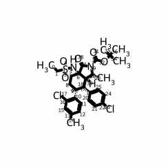 CCS(=O)(=O)N[C@@]12CC[C@@H](c3ccc(C)cc3Cl)[C@H](c3ccc(Cl)cc3)[C@@H]1[C@@H](C)N(C(=O)OC(C)(C)C)C2=O